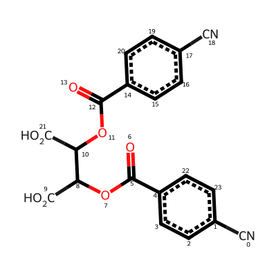 N#Cc1ccc(C(=O)OC(C(=O)O)C(OC(=O)c2ccc(C#N)cc2)C(=O)O)cc1